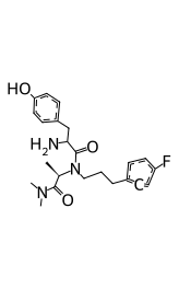 C[C@H](C(=O)N(C)C)N(CCCc1ccc(F)cc1)C(=O)C(N)Cc1ccc(O)cc1